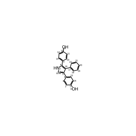 Oc1ccc(-c2n[nH]c(-c3ccc(O)cc3)c2-c2ccccc2)cc1